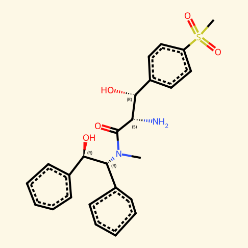 CN(C(=O)[C@@H](N)[C@H](O)c1ccc(S(C)(=O)=O)cc1)[C@H](c1ccccc1)[C@H](O)c1ccccc1